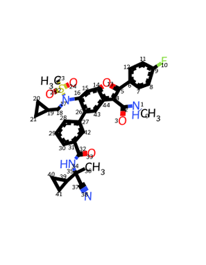 CNC(=O)c1c(-c2ccc(F)cc2)oc2cc(N(CC3CC3)S(C)(=O)=O)c(-c3cccc(C(=O)NC(C)(C#N)C4CC4)c3)cc12